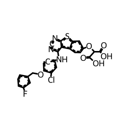 O=C(O)C(Oc1ccc2c(c1)sc1ncnc(Nc3ccc(OCc4cccc(F)c4)c(Cl)c3)c12)C(=O)O